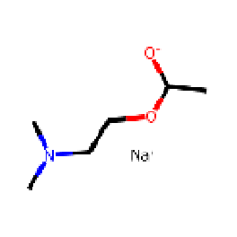 CC([O-])OCCN(C)C.[Na+]